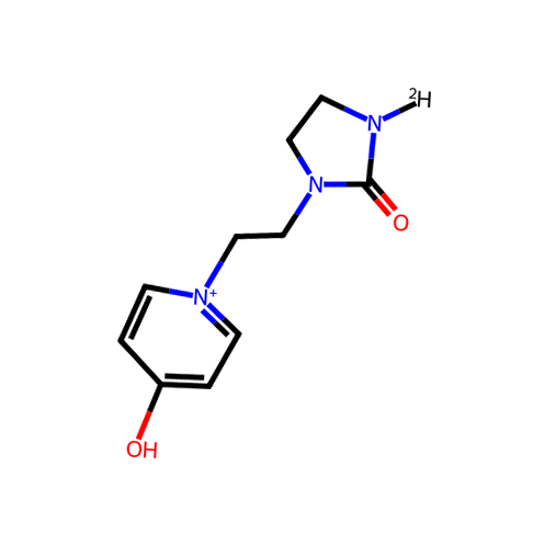 [2H]N1CCN(CC[n+]2ccc(O)cc2)C1=O